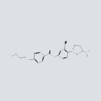 CCCCOc1ccc(C(=O)Nc2ccc(N3CCC(N(C)C)C3)c(C#N)c2)cc1